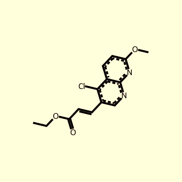 CCOC(=O)C=Cc1cnc2nc(OC)ccc2c1Cl